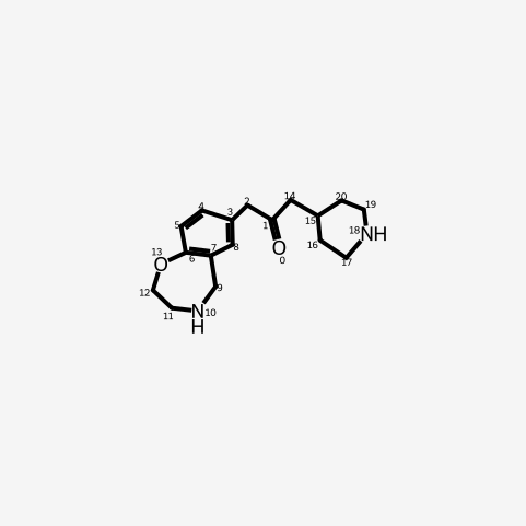 O=C(Cc1ccc2c(c1)CNCCO2)CC1CCNCC1